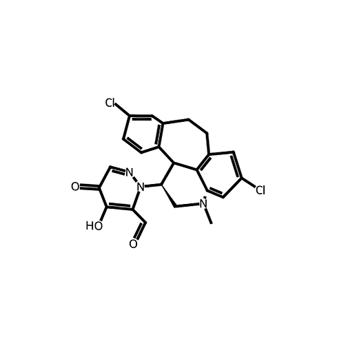 CN(C)C[C@H](C1c2ccc(Cl)cc2CCc2cc(Cl)ccc21)n1ncc(=O)c(O)c1C=O